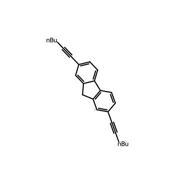 CCCCC#Cc1[c]c2c(cc1)-c1ccc(C#CCCCC)cc1C2